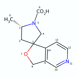 C[C@H]1CC2(CN1C(=O)O)OCc1cnccc12